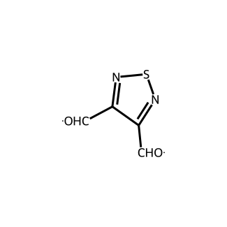 O=[C]c1nsnc1[C]=O